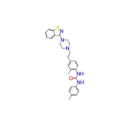 Cc1ccc(NC(=O)Nc2ccc(CCN3CCN(c4nsc5ccccc45)CC3)cc2C)cc1